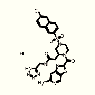 Cc1cc2nc(C(=O)N3CCN(S(=O)(=O)c4ccc5cc(Cl)ccc5c4)CC3CC(=O)NCc3nnn[nH]3)sc2cn1.I